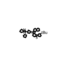 CC(C)(C)c1ccc2sc3ccc4c(c3c2c1)c1c2ccccc2ccc1n4-c1ccc(-c2nc3ccccc3n2-c2ccccc2)cc1